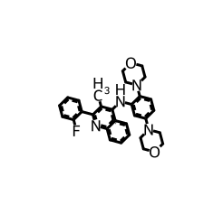 Cc1c(-c2ccccc2F)nc2ccccc2c1Nc1cc(N2CCOCC2)ccc1N1CCOCC1